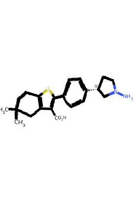 CC1(C)CCc2sc(-c3ccc([C@@H]4CCN(N)C4)cc3)c(C(=O)O)c2C1